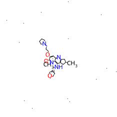 COc1nc2c(NC[C@@H]3CCOC3)c3c(nc2cc1OCCCN1CCCC1)CC(C)C3